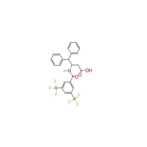 CN(C(=O)c1cc(C(F)(F)F)cc(C(F)(F)F)c1)C(CC(=O)O)C(c1ccccc1)c1ccccc1